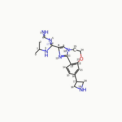 CC(C)N/C(=N\C=N)c1cn2c(n1)-c1ccc(C3CNC3)cc1OCC2